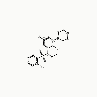 O=S(=O)(c1ccccc1F)N1CCOc2c(N3CCNCC3)cc(Cl)cc21